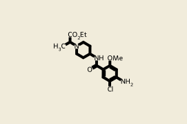 CCOC(=O)C(C)N1CCC(NC(=O)c2cc(Cl)c(N)cc2OC)CC1